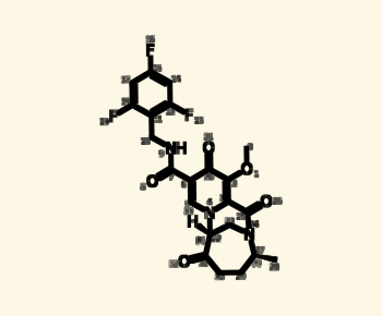 COc1c2n(cc(C(=O)NCc3c(F)cc(F)cc3F)c1=O)[C@@H]1CN(C2=O)[C@@H](C)CCC1=O